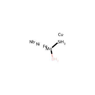 [BH2][Mo][SiH3].[Cu].[Fe].[Nb].[Ni]